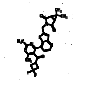 Cc1cc(C)c(C(=O)C2CC(F)(F)C2)c(-c2ccnc3cc(CN4C(=O)C5C(C4=O)C5(C)C)sc23)n1